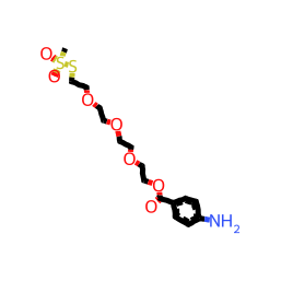 CS(=O)(=O)SCCOCCOCCOCCOC(=O)c1ccc(N)cc1